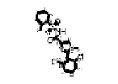 Cc1ccccc1S(=O)(=O)NC(=O)c1cn(C)c(-c2c(Cl)cccc2Cl)n1